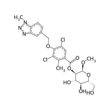 CO[C@H]1O[C@H](CO)[C@@H](O)[C@H](O)[C@H]1OC(=O)c1cc(Cl)c(OCc2ccc3c(c2)nnn3C)c(Cl)c1C